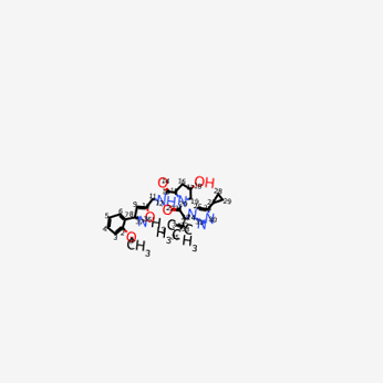 COc1ccccc1-c1cc(CNC(=O)C2CC(O)CN2C(=O)[C@@H](n2cc(C3CC3)nn2)C(C)(C)C)on1